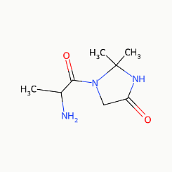 CC(N)C(=O)N1CC(=O)NC1(C)C